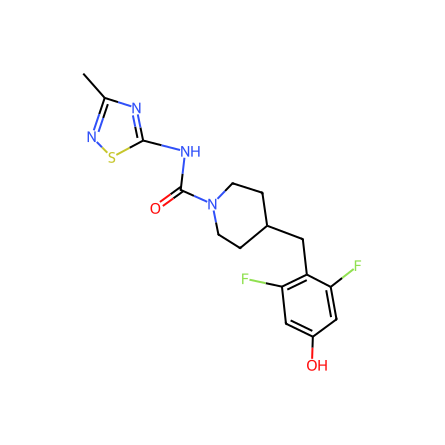 Cc1nsc(NC(=O)N2CCC(Cc3c(F)cc(O)cc3F)CC2)n1